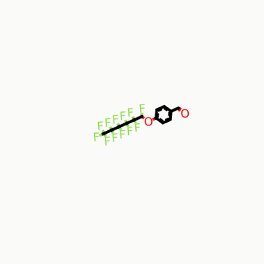 O=Cc1ccc(OC(F)C(F)(F)C(F)(F)C(F)(F)C(F)(F)C(F)(F)F)cc1